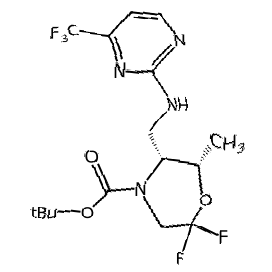 C[C@@H]1OC(F)(F)CN(C(=O)OC(C)(C)C)[C@@H]1CNc1nccc(C(F)(F)F)n1